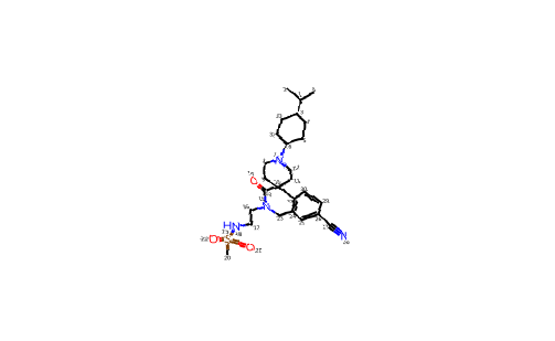 CC(C)[C@H]1CC[C@@H](N2CCC3(CC2)C(=O)N(CCNS(C)(=O)=O)Cc2cc(C#N)ccc23)CC1